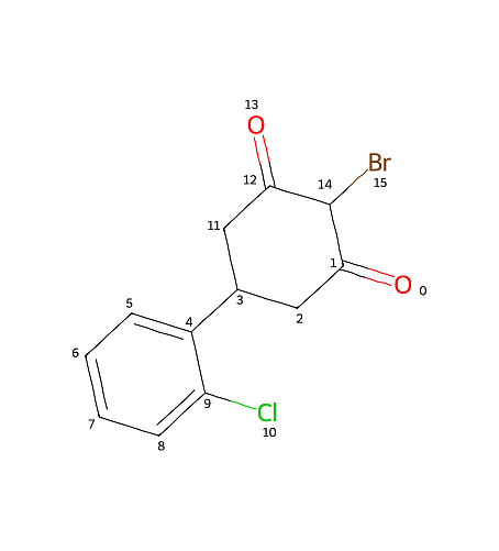 O=C1CC(c2ccccc2Cl)CC(=O)C1Br